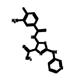 Cc1ccc(C(=O)NC2SC(Nc3cccnc3)=NC2C(N)=O)cc1N